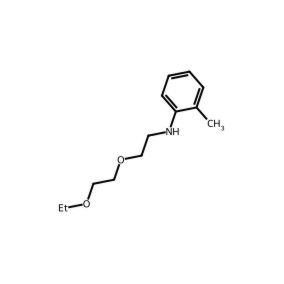 CCOCCOCCNc1ccccc1C